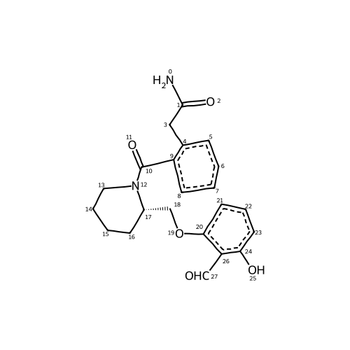 NC(=O)Cc1ccccc1C(=O)N1CCCC[C@H]1COc1cccc(O)c1C=O